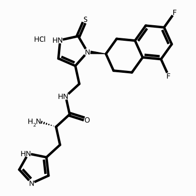 Cl.N[C@@H](Cc1cnc[nH]1)C(=O)NCc1c[nH]c(=S)n1[C@@H]1CCc2c(F)cc(F)cc2C1